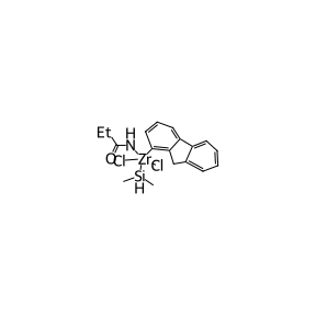 CCC(=O)[NH][Zr]([Cl])([Cl])([c]1cccc2c1Cc1ccccc1-2)[SiH](C)C